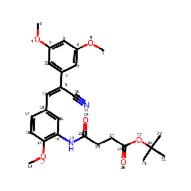 COc1cc(OC)cc(C(C#N)=Cc2ccc(OC)c(NC(=O)CCC(=O)OC(C)(C)C)c2)c1